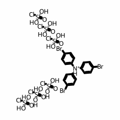 Brc1ccc([NH+](c2ccc(Br)cc2)c2ccc(Br)cc2)cc1.[O]=[Sb]([OH])([OH])[Cl].[O]=[Sb]([OH])([OH])[Cl].[O]=[Sb]([OH])([OH])[Cl].[O]=[Sb]([OH])([OH])[Cl].[O]=[Sb]([OH])([OH])[Cl].[O]=[Sb]([OH])([OH])[Cl]